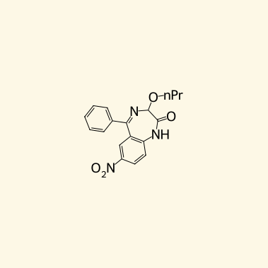 CCCOC1N=C(c2ccccc2)c2cc([N+](=O)[O-])ccc2NC1=O